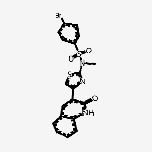 CN(c1nc(-c2cc3ccccc3[nH]c2=O)cs1)S(=O)(=O)c1ccc(Br)cc1